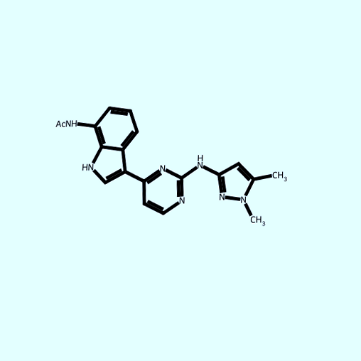 CC(=O)Nc1cccc2c(-c3ccnc(Nc4cc(C)n(C)n4)n3)c[nH]c12